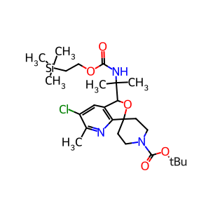 Cc1nc2c(cc1Cl)C(C(C)(C)NC(=O)OCC[Si](C)(C)C)OC21CCN(C(=O)OC(C)(C)C)CC1